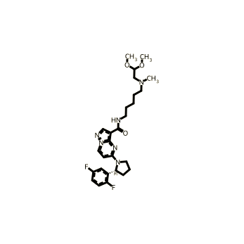 COC(CN(C)CCCCCNC(=O)c1cnn2ccc(N3CCC[C@@H]3c3cc(F)ccc3F)nc12)OC